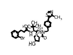 Cc1ncsc1-c1ccc(CNC(=O)[C@@H]2C[C@@H](O)CN2C(=O)[C@@H](NC(=O)CCc2ccccc2Br)C(C)(C)C)cc1